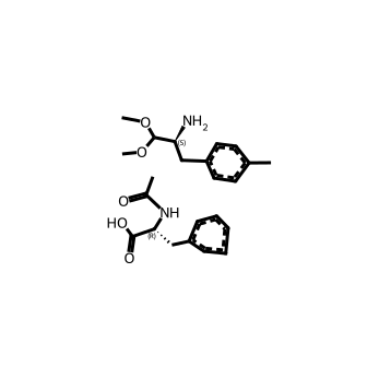 CC(=O)N[C@H](Cc1ccccc1)C(=O)O.COC(OC)[C@@H](N)Cc1ccc(C)cc1